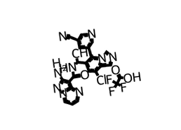 CC(NC(=O)c1c(N)nn2cccnc12)c1cc(Cl)c2cncn2c1-c1cncc(C#N)c1.O=C(O)C(F)(F)F